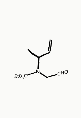 C=CC(C)N(CC=O)C(=O)OCC